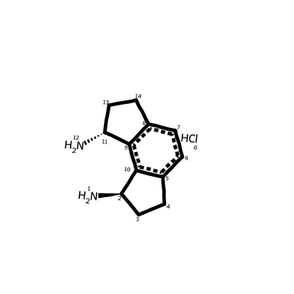 Cl.N[C@@H]1CCc2ccc3c(c21)[C@H](N)CC3